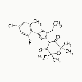 CCc1sc(-c2c(C)cc(Cl)cc2F)nc1C1C(=O)C(C)(C)OC(C)(C)C1=O